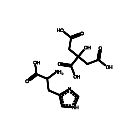 NC(Cc1c[nH]cn1)C(=O)O.O=C(O)CC(O)(CC(=O)O)C(=O)O